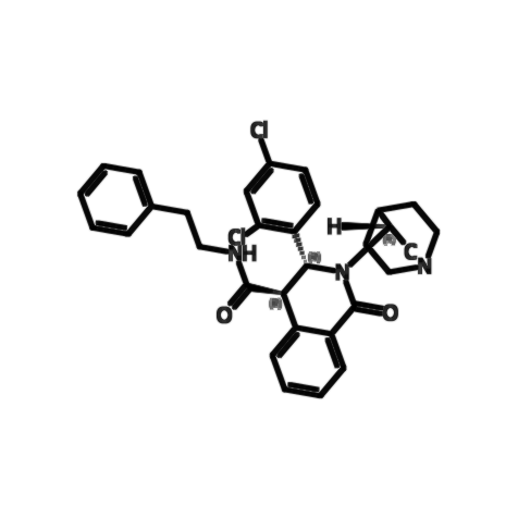 O=C(NCCc1ccccc1)[C@@H]1c2ccccc2C(=O)N([C@H]2CN3CCC2CC3)[C@H]1c1ccc(Cl)cc1Cl